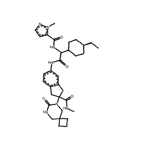 CCC1CCC(C(NC(=O)c2ccnn2C)C(=O)Nc2ccc3c(c2)CC(C(=O)NC)(N2CC4(CCC4)CNC2=O)C3)CC1